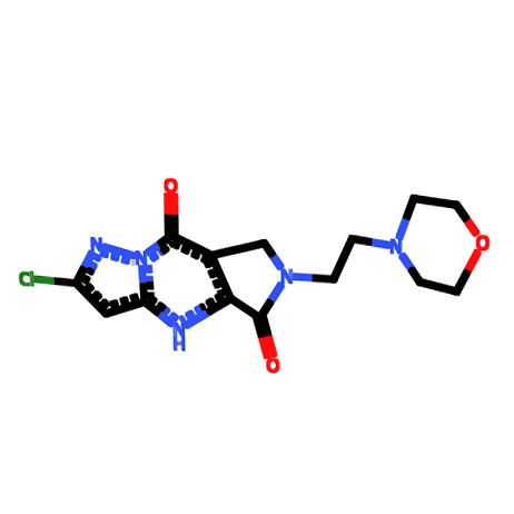 O=C1c2[nH]c3cc(Cl)nn3c(=O)c2CN1CCN1CCOCC1